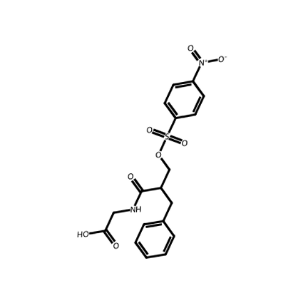 O=C(O)CNC(=O)C(COS(=O)(=O)c1ccc([N+](=O)[O-])cc1)Cc1ccccc1